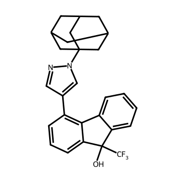 OC1(C(F)(F)F)c2ccccc2-c2c(-c3cnn(C45CC6CC(CC(C6)C4)C5)c3)cccc21